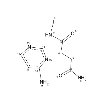 NC(=O)CCC(=O)NI.Nc1ccncn1